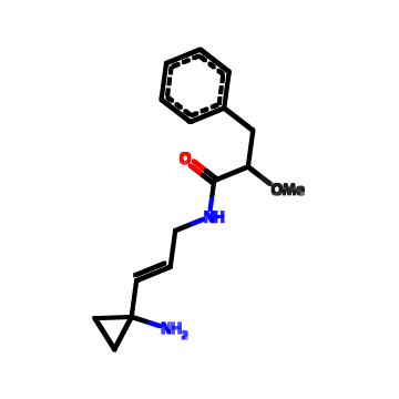 COC(Cc1ccccc1)C(=O)NC/C=C/C1(N)CC1